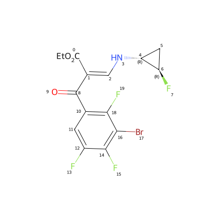 CCOC(=O)C(=CN[C@@H]1C[C@H]1F)C(=O)c1cc(F)c(F)c(Br)c1F